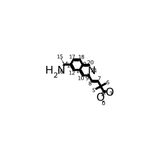 COC(=O)C(C)(C)/C=C/c1cc2cc([C@@H](C)N)ccc2cn1